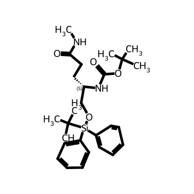 CNC(=O)CC[C@@H](CO[Si](c1ccccc1)(c1ccccc1)C(C)(C)C)NC(=O)OC(C)(C)C